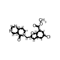 COC(=O)c1cc(Cl)cc2cc(Cn3ccc4ncncc4c3=O)oc12